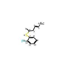 CC(=O)/C=C/CC(C)Sc1ccccc1F